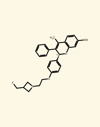 CC1=C(c2ccccc2)[C@H](c2ccc(OCCN3CC(CF)C3)cc2)Oc2cc(O)ccc21